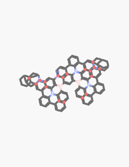 c1ccc(-c2cccc(-c3ccccc3)c2N2c3ccccc3B3c4cc5c(cc4Nc4cc(N6C7CC8CC6C6CCCC8C6C7)cc2c43)N(c2c(-c3ccccc3)cccc2-c2ccccc2)c2cc(N3C4CC6CC(C4)CC3C6)cc3c2B5c2ccccc2N3c2c(-c3ccccc3)cccc2-c2ccccc2)cc1